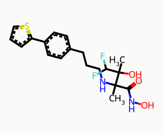 CC(NCCCc1ccc(-c2cccs2)cc1)(C(=O)NO)C(C)(O)C(F)F